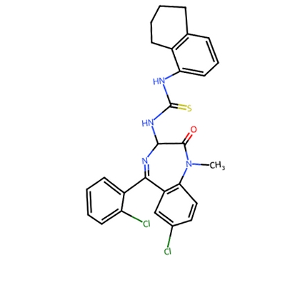 CN1C(=O)C(NC(=S)Nc2cccc3c2CCCC3)N=C(c2ccccc2Cl)c2cc(Cl)ccc21